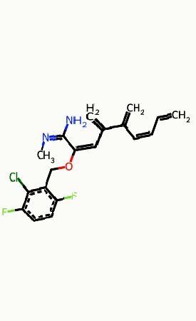 C=C/C=C\C(=C)C(=C)/C=C(OCc1c(F)ccc(F)c1Cl)\C(N)=N/C